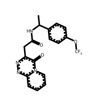 CC(NC(=O)Cc1nnc2ccccn2c1=O)c1ccc(OC(F)(F)F)cc1